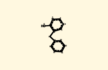 Oc1ncncc1Cc1ccccc1